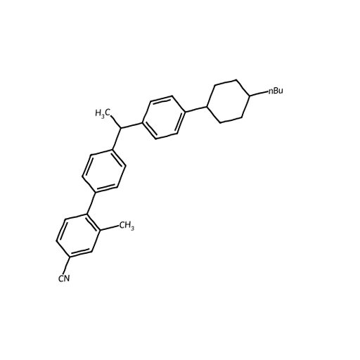 CCCCC1CCC(c2ccc(C(C)c3ccc(-c4ccc(C#N)cc4C)cc3)cc2)CC1